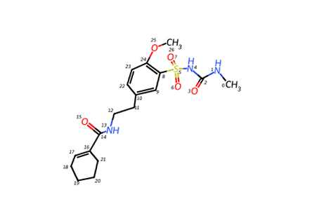 CNC(=O)NS(=O)(=O)c1cc(CCNC(=O)C2=CCCCC2)ccc1OC